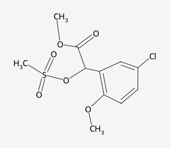 COC(=O)C(OS(C)(=O)=O)c1cc(Cl)ccc1OC